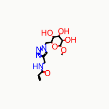 C=CC(=O)NCc1cn(CC2OC(OC)C(O)C(O)C2O)nn1